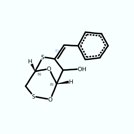 OC1/C(=C\c2ccccc2)S[C@H]2CSO[C@@H]1O2